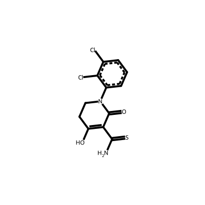 NC(=S)C1=C(O)CCN(c2cccc(Cl)c2Cl)C1=O